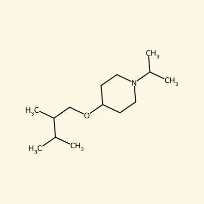 CC(C)C(C)COC1CCN(C(C)C)CC1